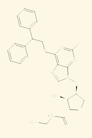 CCNC(=O)[C@H]1OC[C@H](On2cnc3c(NCC(c4ccccc4)c4ccccc4)nc(Cl)nc32)[C@@H]1O